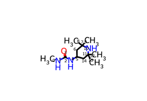 CNC(=O)NC1CC(C)(C)NC(C)(C)C1